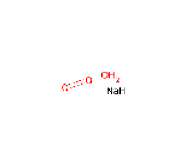 O.O=O.[NaH]